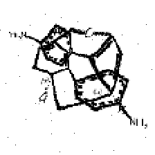 Nc1ccc(C2=CC3=CC[C@@H]2CC[C@@H]2C=CC(=C(c4ccc(N)cc4)C2)CC3)cc1